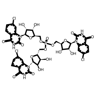 O=c1[nH]c(=O)n([C@@H]2O[C@H](COP(=O)(OC[C@H]3O[C@@H](n4c(=O)[nH]c(=O)c5ccc(Cl)cc54)[C@H](O)[C@@H]3O)OC[C@H]3O[C@@H](n4c(=O)[nH]c(=O)c5ccc(Cl)cc54)[C@H](O)[C@@H]3O)[C@@H](O)[C@H]2O)c2cc(Cl)ccc12